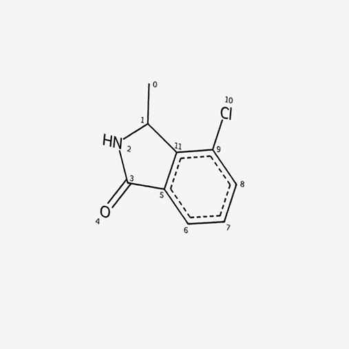 CC1NC(=O)c2cccc(Cl)c21